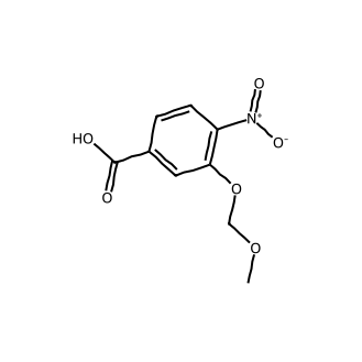 COCOc1cc(C(=O)O)ccc1[N+](=O)[O-]